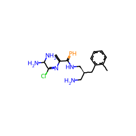 C=C(/N=C(/Cl)C(N)N)C(=P)NC[C@H](CN)Cc1ccccc1C